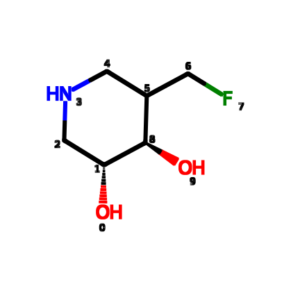 O[C@@H]1CNCC(CF)[C@H]1O